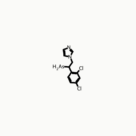 Clc1ccc(C([AsH2])Cn2ccnc2)c(Cl)c1